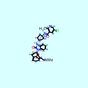 CNCCCC(=O)C1=C\CCC/C=C(n2c(=O)n(C[C@H]3CC[C@H](NC(=O)c4cc(Cl)cnc4C)CC3)c3ccccc32)/C=C\1